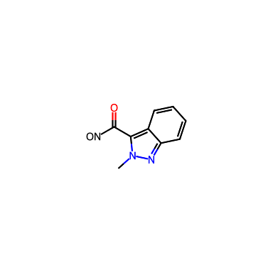 Cn1nc2ccccc2c1C(=O)N=O